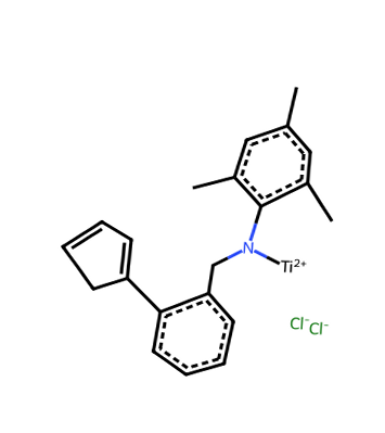 Cc1cc(C)c([N]([Ti+2])Cc2ccccc2C2=CC=CC2)c(C)c1.[Cl-].[Cl-]